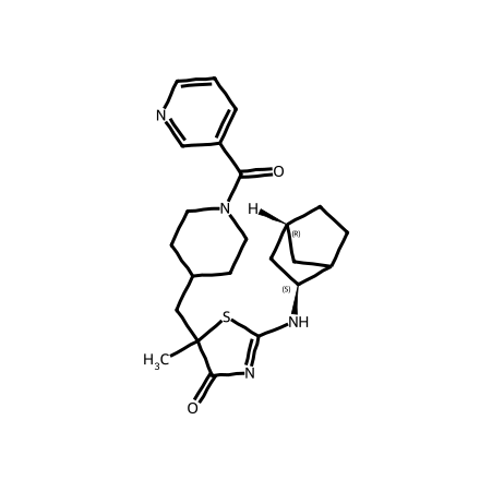 CC1(CC2CCN(C(=O)c3cccnc3)CC2)SC(N[C@H]2C[C@@H]3CCC2C3)=NC1=O